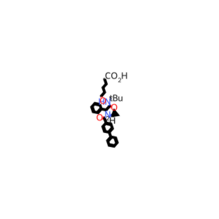 [2H]C1(N(C(=O)c2ccc(-c3ccccc3)cc2)C(C(=O)NC(C)(C)C)c2ccccc2OCCCCCC(=O)O)CC1